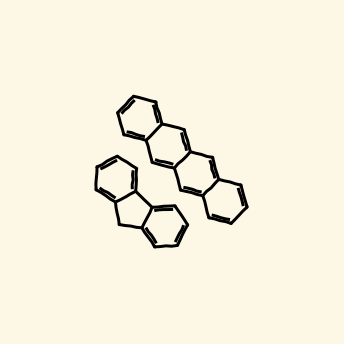 c1ccc2c(c1)Cc1ccccc1-2.c1ccc2cc3cc4ccccc4cc3cc2c1